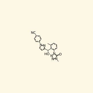 Cc1cccc(-n2nnn(C)c2=O)c1C(O)c1ccn(-c2ccc(C#N)cc2)n1